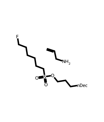 C=CCN.CCCCCCCCCCCCCOS(=O)(=O)CCCCCCF